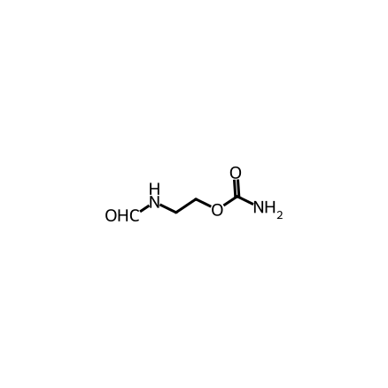 NC(=O)OCCNC=O